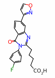 O=C(O)CCCCc1nc2cc(-c3ccon3)ccc2c(=O)n1-c1ccc(F)cc1